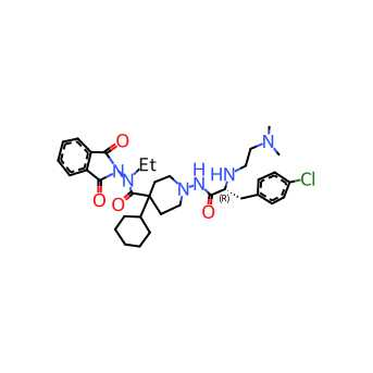 CCN(C(=O)C1(C2CCCCC2)CCN(NC(=O)[C@@H](Cc2ccc(Cl)cc2)NCCN(C)C)CC1)N1C(=O)c2ccccc2C1=O